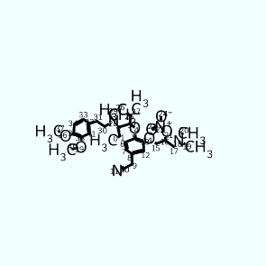 CCC(C(Oc1ccc(CC#N)cc1OCC(CN(C)C)O[N+](=O)[O-])C(C)C)N(C)CCc1ccc(OC)c(OC)c1